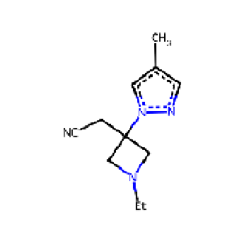 CCN1CC(CC#N)(n2cc(C)cn2)C1